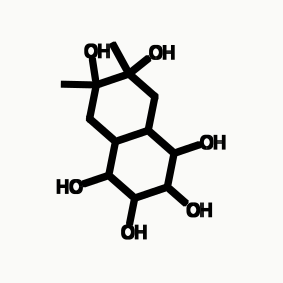 CC1(O)CC2C(O)C(O)C(O)C(O)C2CC1(C)O